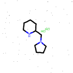 C1CCC(CN2CCCC2)NC1.Cl.Cl